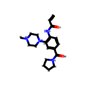 C=CC(=O)Nc1ccc(C(=O)N2CCCC2)cc1N1CCN(C)CC1